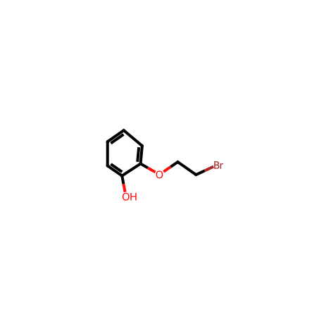 Oc1ccccc1OCCBr